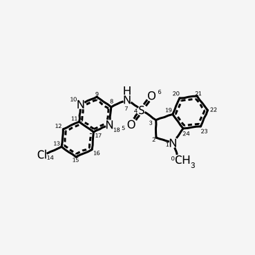 CN1CC(S(=O)(=O)Nc2cnc3cc(Cl)ccc3n2)c2ccccc21